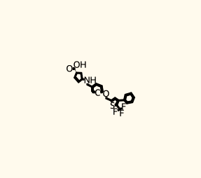 O=C(O)[C@H]1C=CC(NCc2ccc(OCc3cc(-c4ccccc4)c(C(F)(F)F)s3)cc2)C1